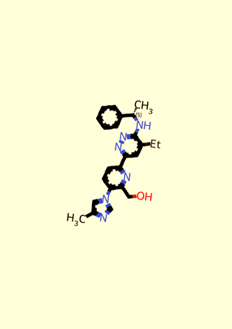 CCc1cc(-c2ccc(-n3cnc(C)c3)c(CO)n2)nnc1N[C@@H](C)c1ccccc1